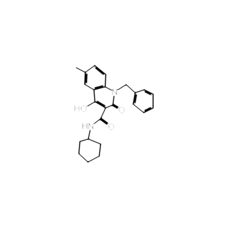 Cc1ccc2c(c1)c(O)c(C(=O)NC1CCCCC1)c(=O)n2Cc1ccccc1